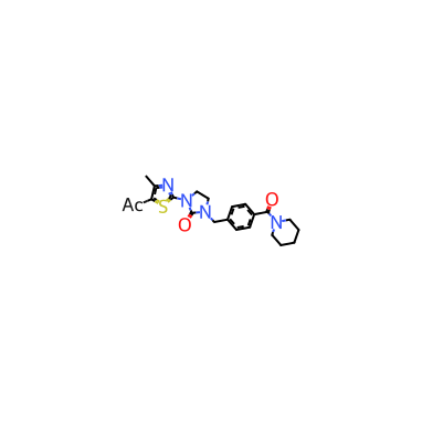 CC(=O)c1sc(N2CCN(Cc3ccc(C(=O)N4CCCCC4)cc3)C2=O)nc1C